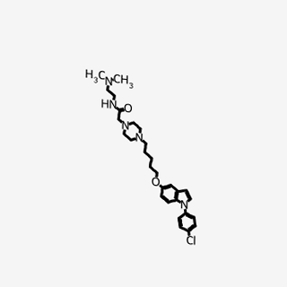 CN(C)CCNC(=O)CN1CCN(CCCCCOc2ccc3c(ccn3-c3ccc(Cl)cc3)c2)CC1